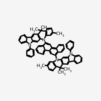 Cc1ccc2c(c1)N(c1cc3c4ccccc4c(N4c5cc(C)ccc5C(C)(C)c5cc6c7ccccc7n(-c7ccccc7)c6cc54)cc3c3ccccc13)c1cc3c(cc1C2(C)C)c1ccccc1n3-c1ccccc1